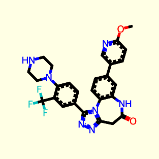 COc1ccc(-c2ccc3c(c2)NC(=O)Cc2nnc(-c4ccc(N5CCNCC5)c(C(F)(F)F)c4)n2-3)cn1